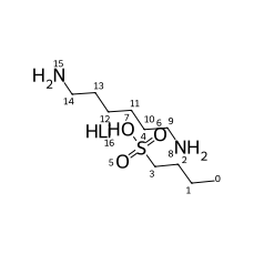 CCCCS(=O)(=O)O.NCCCCCCN.[LiH]